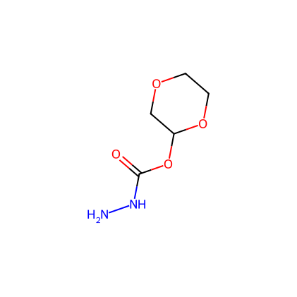 NNC(=O)OC1COCCO1